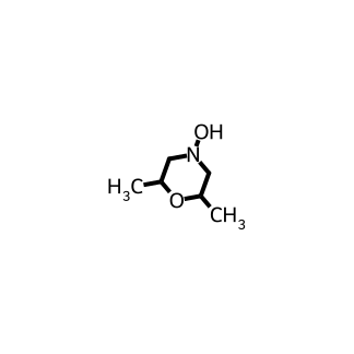 CC1CN(O)CC(C)O1